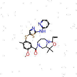 C=CC(=O)N1CCCN(C(=O)c2cc(Sc3cnc(Nc4ccccn4)s3)c(C)cc2OC)CC1C(C)(C)C